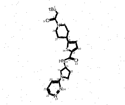 CC(C)(C)CC(=O)N1CCC(c2ccc(C(=O)N[C@H]3CCN(c4cccnn4)C3)s2)CC1